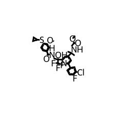 COC(=O)CNC(C)(C)c1cc(-c2ccc(F)c(Cl)c2)nc(C(O)(CNC(=O)c2ccc(SC3CC3)c(OC)c2)C(F)(F)F)c1